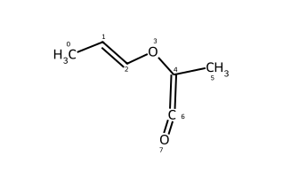 CC=COC(C)=C=O